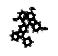 CC(C)(C)c1ccc2c(c1)c1cc(C(C)(C)C)ccc1n2-c1cc2c(cc1-c1c(C#N)cccc1C#N)c1ccccc1n2-c1ccccc1